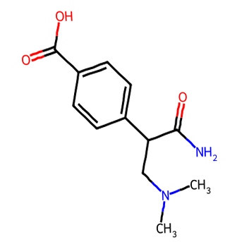 CN(C)CC(C(N)=O)c1ccc(C(=O)O)cc1